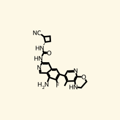 Cc1c(-c2cc3cc(NC(=O)N[C@H]4CCC4C#N)ncc3c(N)c2F)cnc2c1NCCO2